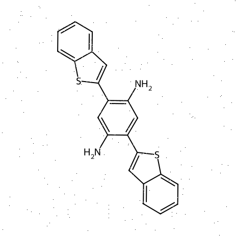 Nc1cc(-c2cc3ccccc3s2)c(N)cc1-c1cc2ccccc2s1